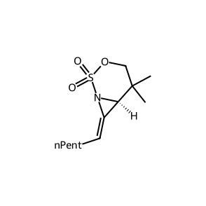 CCCCC/C=C1/[C@H]2N1S(=O)(=O)OCC2(C)C